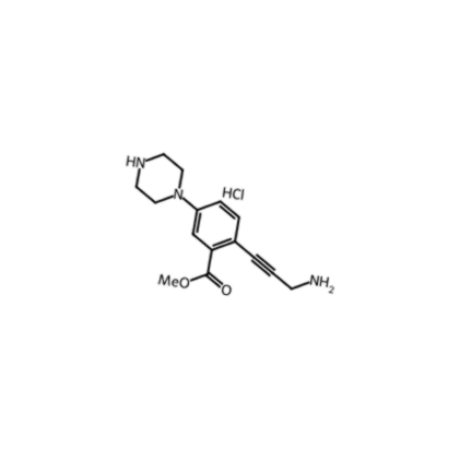 COC(=O)c1cc(N2CCNCC2)ccc1C#CCN.Cl